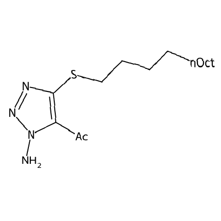 CCCCCCCCCCCCSc1nnn(N)c1C(C)=O